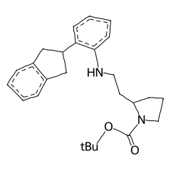 CC(C)(C)OC(=O)N1CCCC1CCNc1ccccc1C1Cc2ccccc2C1